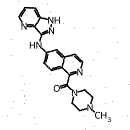 CN1CCN(C(=O)c2nccc3cc(Nc4n[nH]c5cccnc45)ccc23)CC1